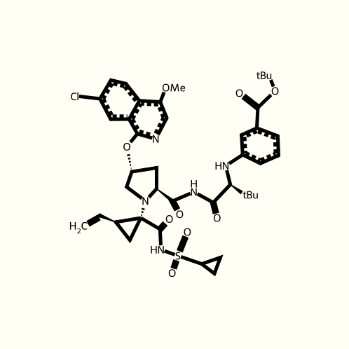 C=C[C@@H]1C[C@@]1(C(=O)NS(=O)(=O)C1CC1)N1C[C@H](Oc2ncc(OC)c3ccc(Cl)cc23)C[C@H]1C(=O)NC(=O)[C@@H](Nc1cccc(C(=O)OC(C)(C)C)c1)C(C)(C)C